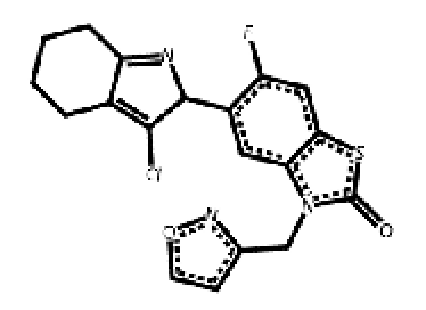 O=c1sc2cc(F)c(C3N=C4CCCCC4=C3Cl)cc2n1Cc1ccon1